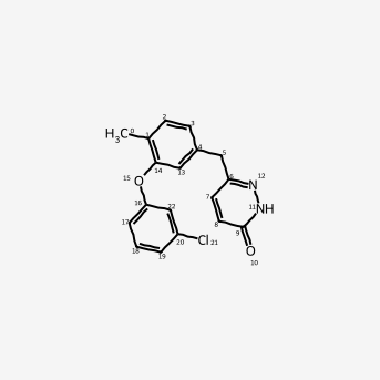 Cc1ccc(Cc2ccc(=O)[nH]n2)cc1Oc1cccc(Cl)c1